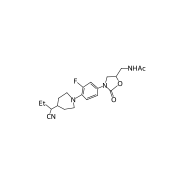 CCC(C#N)C1CCN(c2ccc(N3CC(CNC(C)=O)OC3=O)cc2F)CC1